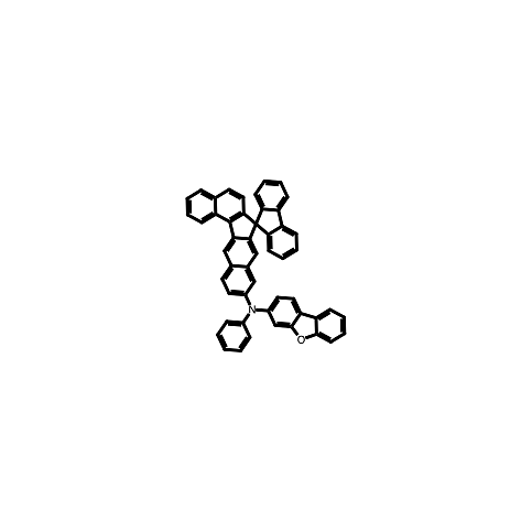 c1ccc(N(c2ccc3cc4c(cc3c2)C2(c3ccccc3-c3ccccc32)c2ccc3ccccc3c2-4)c2ccc3c(c2)oc2ccccc23)cc1